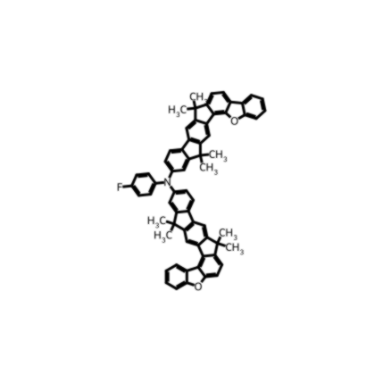 CC1(C)c2cc(N(c3ccc(F)cc3)c3ccc4c(c3)C(C)(C)c3cc5c(cc3-4)C(C)(C)c3ccc4oc6ccccc6c4c3-5)ccc2-c2cc3c(cc21)-c1c(ccc2c1oc1ccccc12)C3(C)C